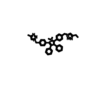 CCc1cn(Cc2ccc(C3=C(c4ccccc4)C(c4ccccc4)=C(c4ccc(Cn5cc(C)nn5)cc4)[Si]3(C)C)cc2)nn1